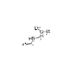 CC[SiH](CC)CNC=S